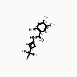 O=C(NC12CC(C(F)(F)F)(C1)C2)c1cc(F)c(F)cc1Br